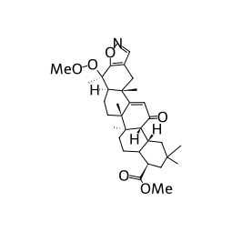 COO[C@@]1(C)c2oncc2C[C@]2(C)C3=CC(=O)[C@@H]4[C@@H]5CC(C)(C)C[C@@H](C(=O)OC)C5CC[C@@]4(C)[C@]3(C)CC[C@@H]12